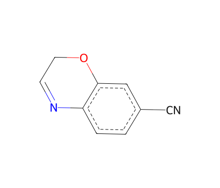 N#Cc1ccc2c(c1)OCC=N2